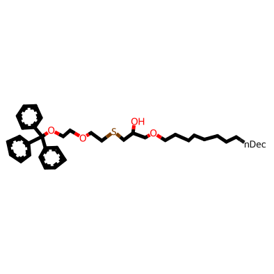 CCCCCCCCCCCCCCCCCCOCC(O)CSCCOCCOC(c1ccccc1)(c1ccccc1)c1ccccc1